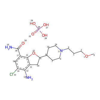 COCCCN1CCC(C2Cc3c(N)c(Cl)cc(C(N)=O)c3O2)CC1.O=P(O)(O)O